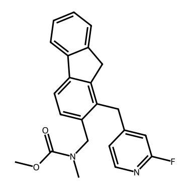 COC(=O)N(C)Cc1ccc2c(c1Cc1ccnc(F)c1)Cc1ccccc1-2